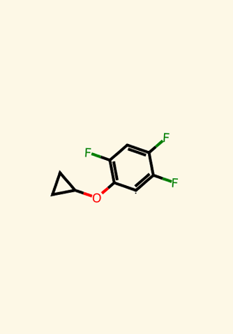 Fc1[c]c(OC2CC2)c(F)cc1F